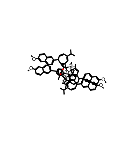 COc1ccc2cc(C3C=CC(C(C)C)=CC4=C3C=C(C)[C]43[SiH](C)[C]4(C(C)=CC5=C4C=C(C(C)C)C=CC5c4ccc5cc(OC)ccc5c4)[Zr]34([Cl])([Cl])[C]3(C(C)=CC5=C3C=C(C(C)C)C=CC5c3ccc5cc(OC)ccc5c3)[SiH](C)[C]43C(C)=CC4=C3C=C(C(C)C)C=CC4c3ccc4cc(OC)ccc4c3)ccc2c1